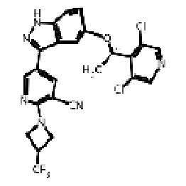 C[C@@H](Oc1ccc2[nH]nc(-c3cnc(N4CC(C(F)(F)F)C4)c(C#N)c3)c2c1)c1c(Cl)cncc1Cl